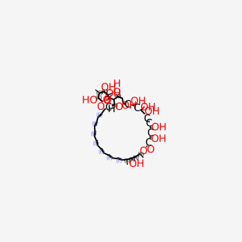 C[C@@H]1[C@H](O)[C@@H](C)/C=C/C=C/C=C/C=C/C=C/C=C/C=C/C(OC2O[C@H](C)[C@@H](O)[C@H](C)[C@@H]2O)C[C@@H]2OC(O)(CC(O)CC(O)C(O)CCC(O)CC(O)CC(=O)O[C@H]1C)C[C@H](O)C2C(=O)O